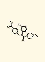 CCN1CCN(C(=O)N(Cc2ccc(C(=O)OC)cc2)c2cccc(Cl)c2)CC1